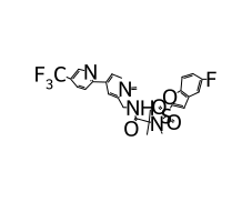 C=N/C(=C\C(=C/C)c1ccc(C(F)(F)F)cn1)CNC(=O)C(C)(C)N(C)S(=O)(=O)c1cc2cc(F)ccc2o1